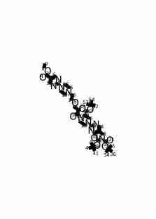 CCOC(=O)c1cnc(N2CCN(CCOCCC(=O)N3CCN(c4ncc(CN(C(=O)OC(C)(C)C)C(=O)OC(C)(C)C)cn4)C[C@@H]3C(=O)OC(C)(C)C)CC2)nc1